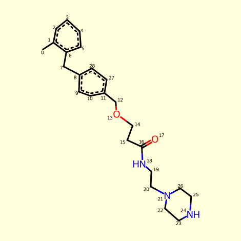 Cc1ccccc1Cc1ccc(COCCC(=O)NCCN2CCNCC2)cc1